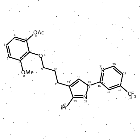 COc1cccc(OC(C)=O)c1OCCCc1cn(-c2cc(C(F)(F)F)ccn2)nc1C(C)C